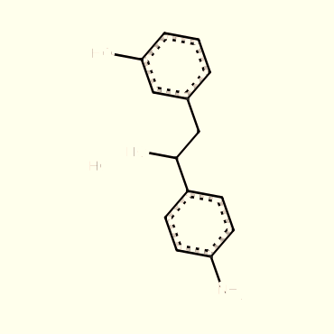 Cl.Nc1ccc(C(O)Cc2cccc(O)c2)cc1